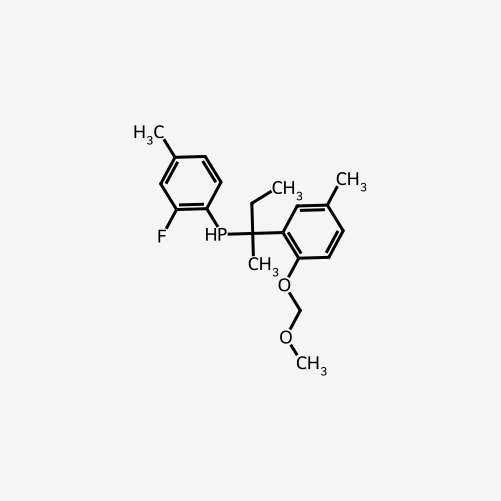 CCC(C)(Pc1ccc(C)cc1F)c1cc(C)ccc1OCOC